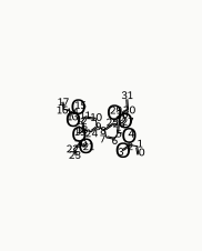 C=CC(=O)Oc1ccc(-c2ccc(OC(=O)C=C)c(OC(=O)C=C)c2)cc1OC(=O)C=C